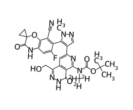 [2H]C([2H])([2H])N(C(=O)OC(C)(C)C)c1nc(-c2cnn(C)c2-c2c(F)cc3c(c2C#N)OC2(CC2)C(=O)N3)cc2c(CO)n[nH]c(=O)c12